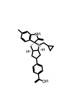 C=C(O)c1ccc(C2C[C@H]3C[C@]4(C(=C)Nc5cc(C)ccc54)N(CC4CC4)[C@H]3C2)cc1